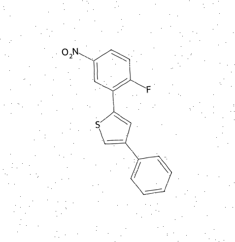 O=[N+]([O-])c1ccc(F)c(-c2cc(-c3ccccc3)cs2)c1